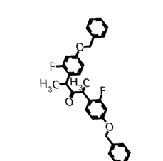 CC(C(=O)C(C)c1ccc(OCc2ccccc2)cc1F)c1ccc(OCc2ccccc2)cc1F